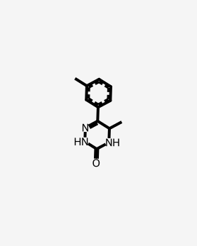 Cc1cccc(C2=NNC(=O)NC2C)c1